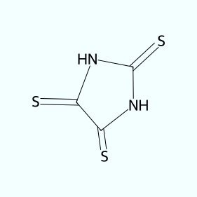 S=C1NC(=S)C(=S)N1